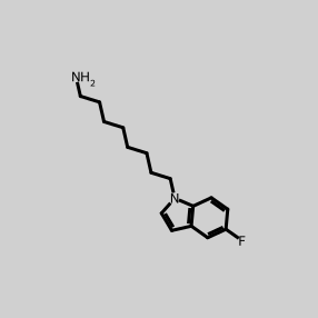 NCCCCCCCCn1ccc2cc(F)ccc21